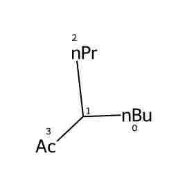 CCCCC(CCC)C(C)=O